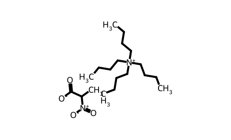 CC(C(=O)[O-])[N+](=O)[O-].CCCC[N+](CCCC)(CCCC)CCCC